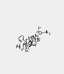 C/C(=C\C(I)Nc1nc(NC(C)(C)c2ccccc2)ncc1Br)C1CC1